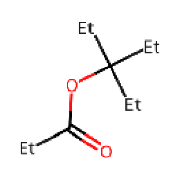 CCC(=O)OC(CC)(CC)CC